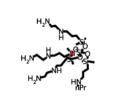 CCCNCCC[Si](C)(C)O[Si](O[Si](C)(C)CCCNCCN)(O[Si](C)(C)CCCNCCN)O[Si](C)(C)CCCNCCN